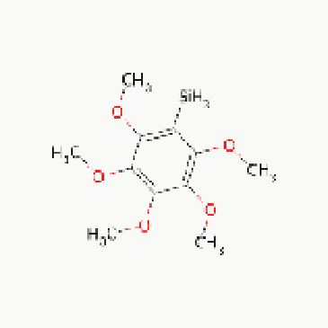 COc1c([SiH3])c(OC)c(OC)c(OC)c1OC